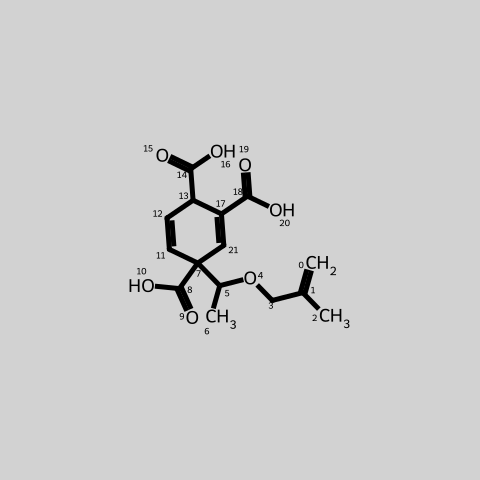 C=C(C)COC(C)C1(C(=O)O)C=CC(C(=O)O)C(C(=O)O)=C1